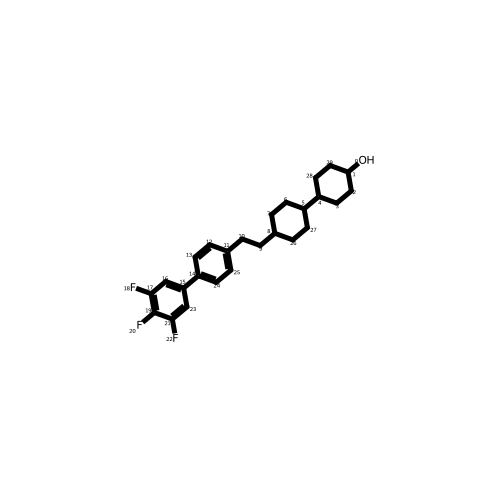 OC1CCC(C2CCC(CCc3ccc(-c4cc(F)c(F)c(F)c4)cc3)CC2)CC1